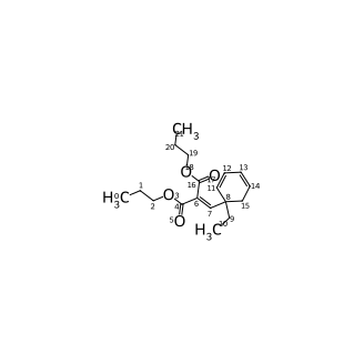 CCCOC(=O)C(=CC1(CC)C=CC=CC1)C(=O)OCCC